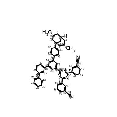 C[C@@H]1C[C@@H]2C[C@H](C)CC(c3ccc(-c4cc(-c5cccc(-c6ccccc6)c5)cc(-c5nc(-c6cccc(C#N)c6)nc(-c6cccc(C#N)c6)n5)c4)cc3)(C1)C2